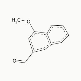 COc1cc(C=O)cc2ccccc12